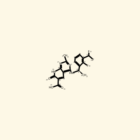 Cc1nc(N[C@H](C)c2cccc(C(F)F)c2F)c2cc(C(=O)O)c(=O)[nH]c2n1